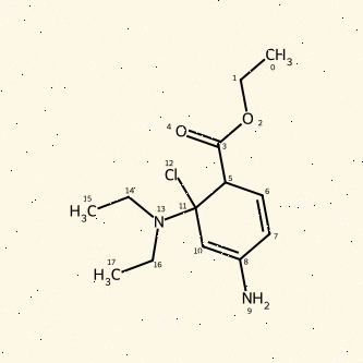 CCOC(=O)C1C=CC(N)=CC1(Cl)N(CC)CC